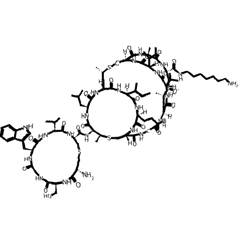 CCC(C)[C@@H]1NC(=O)[C@H](C(C)C)NC(=O)[C@H]2NC(=O)CNC(=O)[C@@H]3CS[C@@H](C)[C@@H](NC(=O)[C@H]4CSC[C@H](N)C(=O)N[C@@H](CO)C(=O)NCC(=O)N[C@@H](Cc5c[nH]c6ccccc56)C(=O)N[C@@H](C(C)C)C(=O)N4)C(=O)N[C@@H](CC(C)C)C(=O)N[C@@H](C(=O)N[C@@H](C(C)CC)C(=O)N[C@@H](CCC(=O)O)C(=O)N3)[C@H](C)SC[C@H](NC1=O)C(=O)N[C@@H](C)C(=O)N[C@H](C(=O)NCCCCCCCN)C[S+]([O-])[C@H]2C